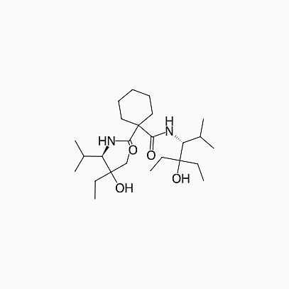 CCC(O)(CC)[C@H](NC(=O)C1(C(=O)N[C@H](C(C)C)C(O)(CC)CC)CCCCC1)C(C)C